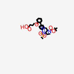 CCS(=O)(=O)NC1CCN(C(=O)OC(C)(C)C)C1Cc1cccc(-c2ccccc2OCCCC(=O)O)c1